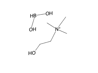 C[N+](C)(C)CCO.OBO